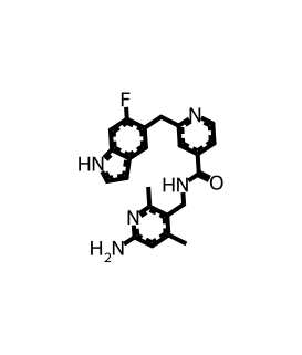 Cc1cc(N)nc(C)c1CNC(=O)c1ccnc(Cc2cc3cc[nH]c3cc2F)c1